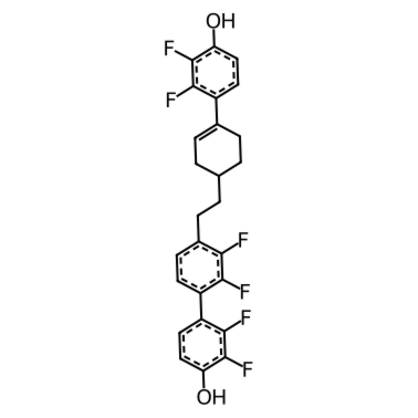 Oc1ccc(C2=CCC(CCc3ccc(-c4ccc(O)c(F)c4F)c(F)c3F)CC2)c(F)c1F